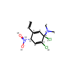 C=CC1=C[C@](Cl)(N(C)C)C(Cl)=C[C@@H]1[N+](=O)[O-]